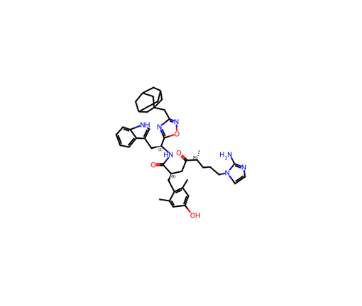 Cc1cc(O)cc(C)c1C[C@H](CC(=O)[C@H](C)CCCn1ccnc1N)C(=O)N[C@@H](Cc1c[nH]c2ccccc12)c1nc(CC23CC4CC(CC(C4)C2)C3)no1